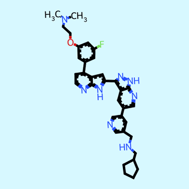 CN(C)CCOc1cc(F)cc(-c2ccnc3[nH]c(-c4n[nH]c5ncc(-c6cncc(CNCC7CCCC7)c6)cc45)cc23)c1